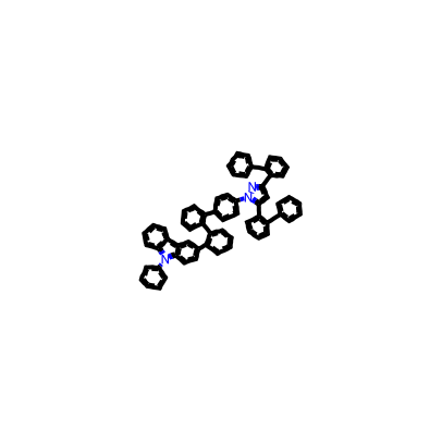 c1ccc(-c2ccccc2-c2cc(-c3ccccc3-c3ccccc3)n(-c3ccc(-c4ccccc4-c4ccccc4-c4ccc5c(c4)c4ccccc4n5-c4ccccc4)cc3)n2)cc1